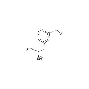 CCCC(Cc1cccc(CBr)c1)OC(C)=O